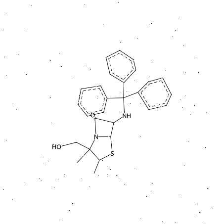 CC1SC2C(NC(c3ccccc3)(c3ccccc3)c3ccccc3)C(=O)N2C1(C)CO